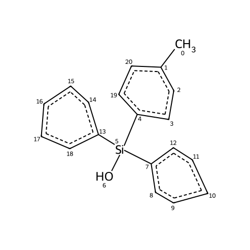 Cc1ccc([Si](O)(c2ccccc2)c2ccccc2)cc1